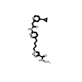 CNC(=O)c1cn(CCCCc2ccc(NC(=O)Cc3cc(C4CC4)ccn3)nn2)nn1